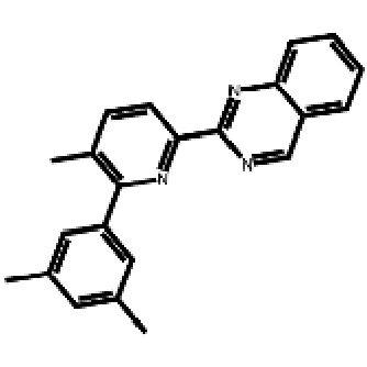 Cc1cc(C)cc(-c2nc(-c3ncc4ccccc4n3)ccc2C)c1